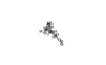 NN=NC1=C(Cl)NC(C(=O)/N=C2/NC3(CCN(C(=O)NCCc4ccc(Oc5ccccc5)cc4)CC3)CN2N)C(N=NN)N1